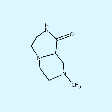 CN1CCN2CCNC(=O)C2C1